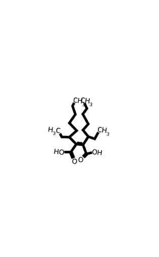 CCCCCC(CC)/C(C(=O)O)=C(/C(=O)O)C(CC)CCCCC